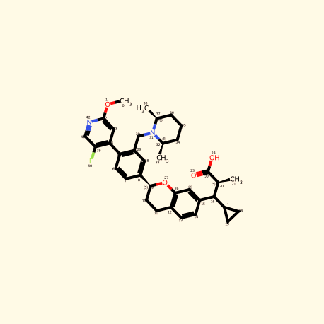 COc1cc(-c2ccc([C@@H]3CCc4ccc(C(C5CC5)[C@H](C)C(=O)O)cc4O3)cc2CN2[C@H](C)CCC[C@@H]2C)c(F)cn1